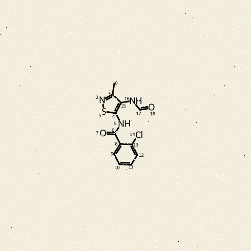 Cc1nsc(NC(=O)c2ccccc2Cl)c1NC=O